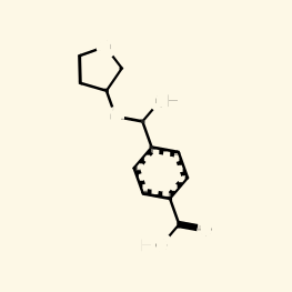 CC(OC1CCOC1)c1ccc(C(=O)O)cc1